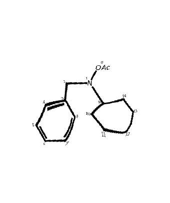 CC(=O)ON(Cc1ccccc1)C1CCCCC1